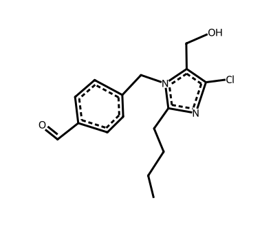 CCCCc1nc(Cl)c(CO)n1Cc1ccc(C=O)cc1